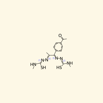 CN/C(S)=N/N=C(C)/C(=N/N=C(\S)NC)c1ccc(C(C)=O)cc1